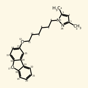 Cc1cc(C)n(CCCCCCOc2ccc3oc4ccccc4c3c2)n1